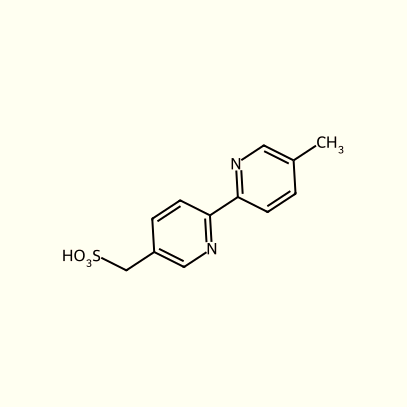 Cc1ccc(-c2ccc(CS(=O)(=O)O)cn2)nc1